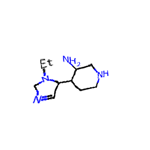 CCN1CN=CC1C1CCNCC1N